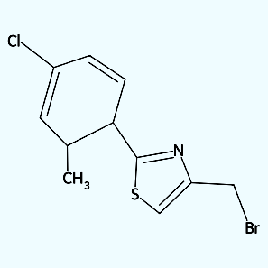 CC1C=C(Cl)C=CC1c1nc(CBr)cs1